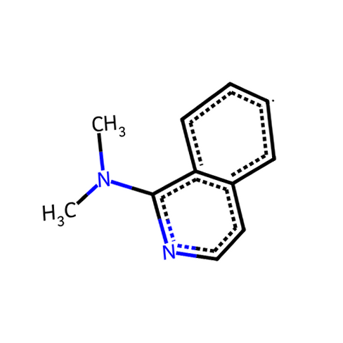 CN(C)c1nccc2c[c]ccc12